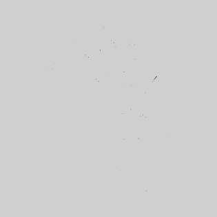 CCn1c(CC#N)nc2c(N3C[C@@H](C)N(C(C)c4cccc(C(C)C)c4)C[C@@H]3C)nc(=O)n(C)c21